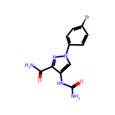 NC(=O)Nc1cn(-c2ccc(Br)cc2)nc1C(N)=O